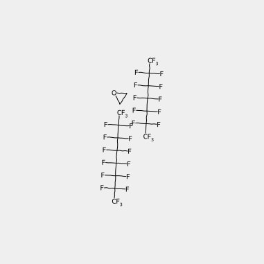 C1CO1.FC(F)(F)C(F)(F)C(F)(F)C(F)(F)C(F)(F)C(F)(F)C(F)(F)C(F)(F)F.FC(F)(F)C(F)(F)C(F)(F)C(F)(F)C(F)(F)C(F)(F)C(F)(F)F